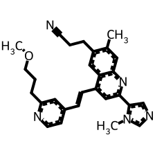 COCCCc1cc(/C=C/c2cc(-c3cncn3C)nc3cc(C)c(CCC#N)cc23)ccn1